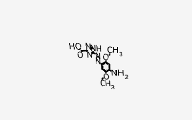 CCOc1cc(N=Nc2nc(C(=O)O)n[nH]2)c(OCC)cc1N